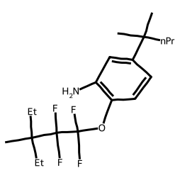 CCCC(C)(C)c1ccc(OC(F)(F)C(F)(F)C(C)(CC)CC)c(N)c1